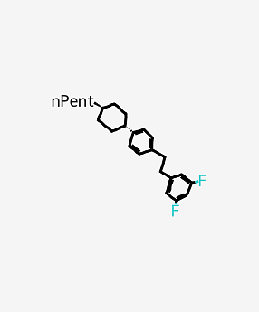 CCCCC[C@H]1CC[C@H](c2ccc(CCc3cc(F)cc(F)c3)cc2)CC1